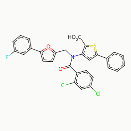 O=C(O)c1sc(-c2ccccc2)cc1N(Cc1ccc(-c2cccc(F)c2)o1)C(=O)c1ccc(Cl)cc1Cl